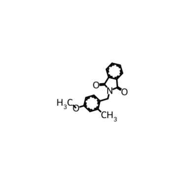 COc1ccc(CN2C(=O)c3ccccc3C2=O)c(C)c1